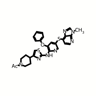 CC(=O)N1CCC(c2csc(Nc3ncc(Sc4ccnc5c4ncn5C)cc3Oc3ccccc3)n2)CC1